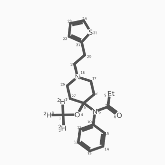 [2H]C([2H])([2H])OC1(N(C(=O)CC)c2ccccc2)CCN(CCc2cccs2)CC1